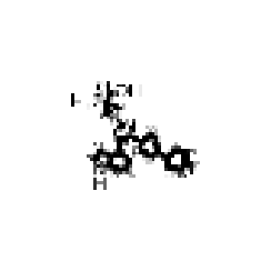 CC1(C(=O)O)CN(c2nc(-c3ccc(-c4ccc(F)cc4)cc3)c(-c3cccc4[nH]ccc34)s2)C1